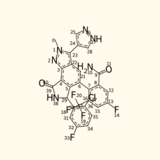 Cn1nc2c3c(c(-c4c(C(N)=O)cc(F)cc4C(F)(F)F)cc2c1-c1cn[nH]c1)C(c1cc(F)ccc1Cl)NC3=O